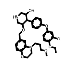 CCOc1ccc(Oc2ccc(C3C(O)CNCC3OCc3ccc4c(c3)N(CCCOC)CCO4)cc2)cc1Cl